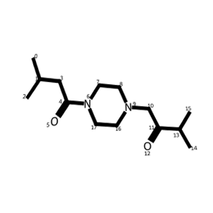 CC(C)CC(=O)N1CCN(CC(=O)C(C)C)CC1